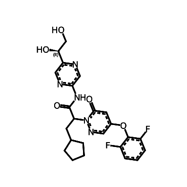 O=C(Nc1cnc([C@@H](O)CO)cn1)C(CC1CCCC1)n1ncc(Oc2c(F)cccc2F)cc1=O